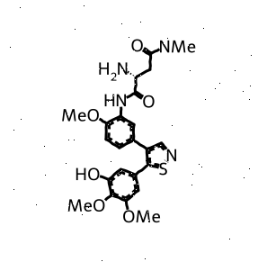 CNC(=O)C[C@@H](N)C(=O)Nc1cc(-c2cnsc2-c2cc(O)c(OC)c(OC)c2)ccc1OC